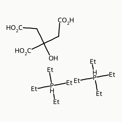 CC[PH](CC)(CC)CC.CC[PH](CC)(CC)CC.O=C(O)CC(O)(CC(=O)O)C(=O)O